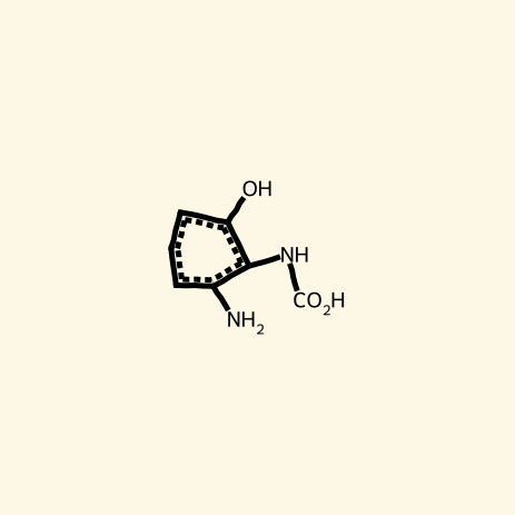 Nc1cccc(O)c1NC(=O)O